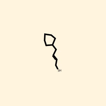 SCC=CCC1CCCCC1